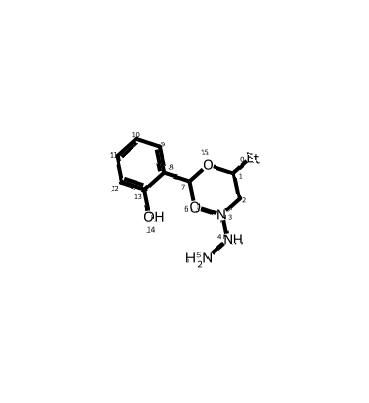 CCC1CN(NN)OC(c2ccccc2O)O1